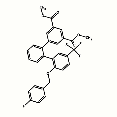 COC(=O)c1cc(C(=O)OC)cc(-c2ccccc2-c2cc(C(F)(F)F)ccc2OCc2ccc(F)cc2)c1